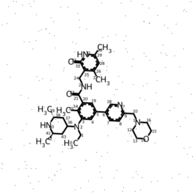 CCN(c1cc(-c2ccc(CN3CCOCC3)nc2)cc(C(=O)NCc2c(C)cc(C)[nH]c2=O)c1C)C1C[C@@H](C)N[C@H](C)C1